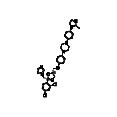 Cc1nccn1-c1ccc(N2CCN(c3ccc(OC[C@@H]4CO[C@@](Cn5ccnc5)(c5ccc(Cl)cc5Cl)O4)cc3)CC2)cc1